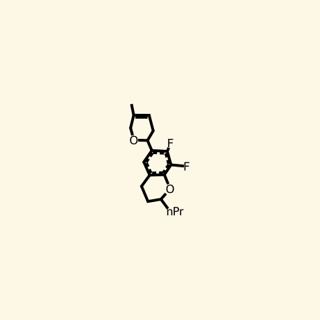 CCCC1CCc2cc(C3CC=C(C)CO3)c(F)c(F)c2O1